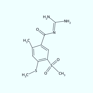 CSc1cc(C)c(C(=O)N=C(N)N)cc1S(C)(=O)=O